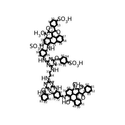 CN1C(=O)C(C(=O)c2cccc(S(=O)(=O)O)c2)=C2c3ccccc3CC3=C(Nc4cc(Nc5nc(NCCNc6nc(Nc7cc(NC8=C9C(=O)c%10ccccc%10C%10=C(C(=O)c%11ccccc%11)C(=O)N(C)C(C=C8)C9%10)ccc7S(=O)(=O)O)nc(Oc7ccccc7)n6)nc(Oc6ccc(S(=O)(=O)O)cc6)n5)ccc4S(=O)(=O)O)C=CC1C32